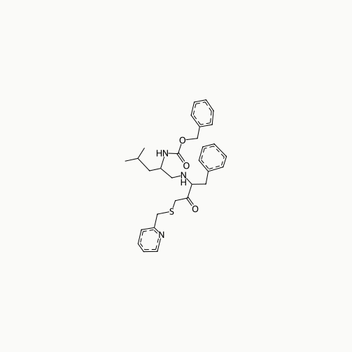 CC(C)CC(CNC(Cc1ccccc1)C(=O)CSCc1ccccn1)NC(=O)OCc1ccccc1